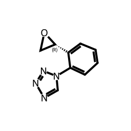 c1ccc(-n2cnnn2)c([C@@H]2CO2)c1